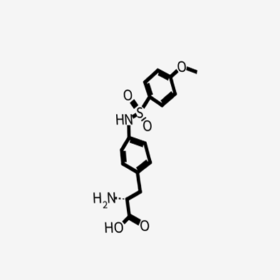 COc1ccc(S(=O)(=O)Nc2ccc(C[C@@H](N)C(=O)O)cc2)cc1